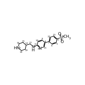 CS(=O)(=O)c1ccc(-c2ccc(NCC3CCNCC3)nc2)cc1